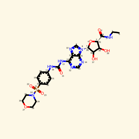 CCNC(=O)[C@H]1O[C@@H](n2cnc3c(NC(=O)Nc4ccc(S(=O)(=O)N5CCOCC5)cc4)ncnc32)C(O)C1O